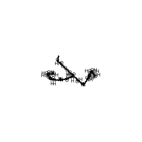 CCCCOC(C)(C)CCNC(=O)CCOCCOCCOCCOCCNC(=O)[C@H](CCCCNC(=O)CCCCn1cc(CCCCNC(=O)Nc2ccc(O[C@H]3O[C@H](CCP(=O)(O)O)[C@@H](O)[C@H](O)[C@@H]3O)cc2)nn1)NC(=O)CCCNC(=O)CCCCn1cc(CCCCNC(=O)Nc2ccc(O[C@H]3O[C@H](CCP(=O)(O)O)[C@@H](O)[C@H](O)[C@@H]3O)cc2)nn1